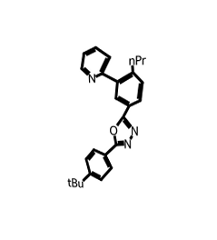 CCCc1ccc(-c2nnc(-c3ccc(C(C)(C)C)cc3)o2)cc1-c1ccccn1